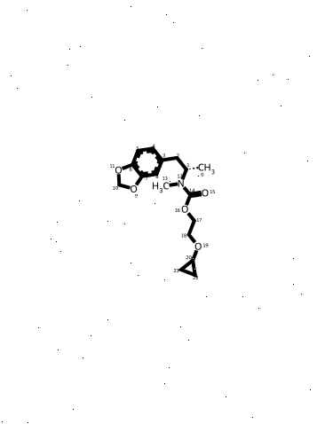 C[C@@H](Cc1ccc2c(c1)OCO2)N(C)C(=O)OCCOC1CC1